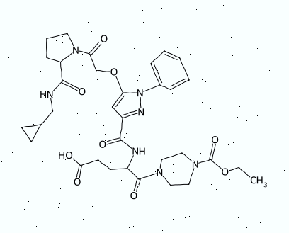 CCOC(=O)N1CCN(C(=O)C(CCC(=O)O)NC(=O)c2cc(OCC(=O)N3CCCC3C(=O)NCC3CC3)n(-c3ccccc3)n2)CC1